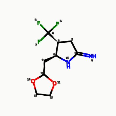 N=C1C[C@@H](C(F)(F)F)[C@H](CC2OCCO2)N1